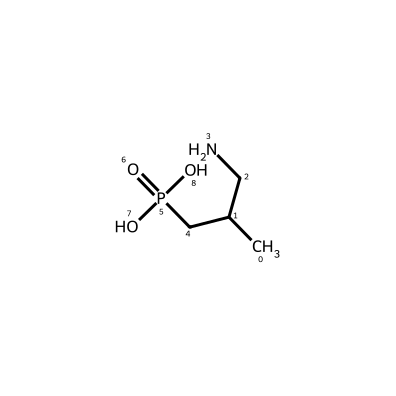 CC(CN)CP(=O)(O)O